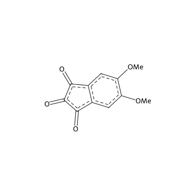 COc1cc2c(=O)c(=O)c(=O)c2cc1OC